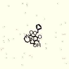 O=C1c2c(OCc3ccccc3)c(=O)c(I)c3n2[C@]2(CCCCN1C2)CC3O